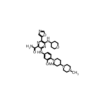 COc1cc(Nc2nc(NC3CCOCC3)c(-c3cnco3)nc2C(N)=O)ccc1N1CCC(N2CCN(C)CC2)CC1